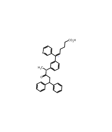 CN(C(=O)CC(c1ccccc1)c1ccccc1)c1cccc(/C(=C/CCCC(=O)O)c2cccnc2)c1